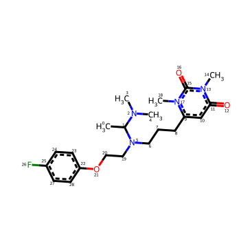 CC(N(C)C)N(CCCc1cc(=O)n(C)c(=O)n1C)CCOc1ccc(F)cc1